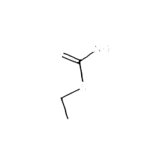 CCSC([NH])=O